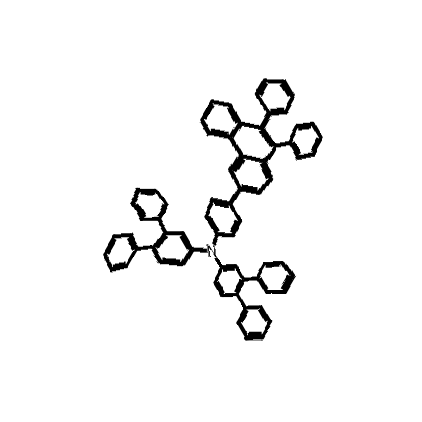 c1ccc(-c2ccc(N(c3ccc(-c4ccc5c(-c6ccccc6)c(-c6ccccc6)c6ccccc6c5c4)cc3)c3ccc(-c4ccccc4)c(-c4ccccc4)c3)cc2-c2ccccc2)cc1